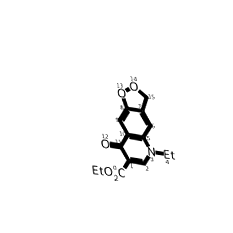 CCOC(=O)c1cn(CC)c2cc3c(cc2c1=O)OOC3